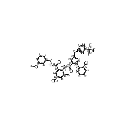 COc1cccc(CNC(=O)c2cc(Cl)cc(C)c2NC(=O)c2cc(Cn3nnc(C(F)(F)F)n3)nn2-c2ncccc2Cl)c1